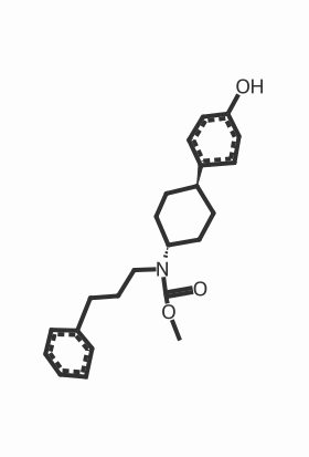 COC(=O)N(CCCc1ccccc1)[C@H]1CC[C@H](c2ccc(O)cc2)CC1